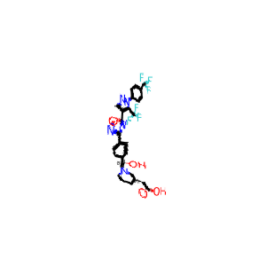 O=C(O)C[C@H]1CCCN(C[C@@H](O)c2ccc(-c3noc(-c4cnn(-c5ccc(C(F)(F)F)cc5)c4C(F)(F)F)n3)cc2)C1